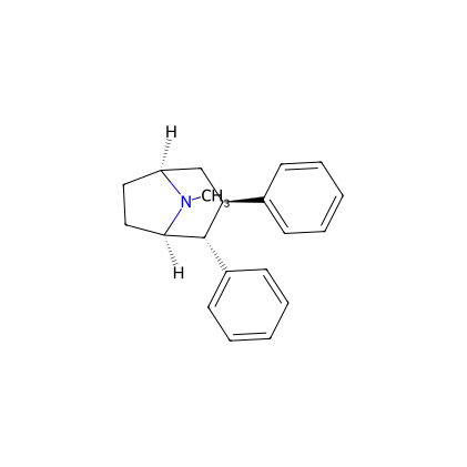 CN1[C@H]2CC[C@@H]1[C@@H](c1ccccc1)[C@H](c1ccccc1)C2